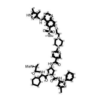 CN[C@@H](C)C(=O)N[C@H](C(=O)N1C[C@@H](NC(=O)c2cnc(N3CCN(CCOc4cc5ncnc(Nc6n[nH]c(C)c6C)c5cc4S(=O)(=O)C(C)(C)C)CC3)nc2)C[C@H]1C(=O)Nc1cc(C)nn1-c1ccccc1)C1CCCCC1